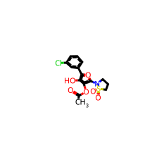 CC(=O)Oc1c(N2CCCS2(=O)=O)oc(-c2cccc(Cl)c2)c1O